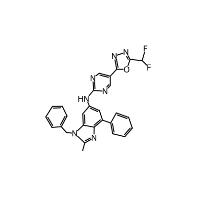 Cc1nc2c(-c3ccccc3)cc(Nc3ncc(-c4nnc(C(F)F)o4)cn3)cc2n1Cc1ccccc1